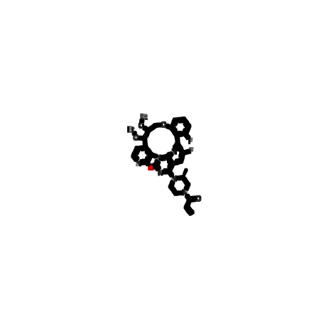 C=CC(=O)N1CCN(c2nc(=O)n3c4nc(c(F)cc24)-c2c(F)cccc2OCC(OCC)C(OCC)c2ccnc(C(C)C)c2-3)[C@@H](C)C1